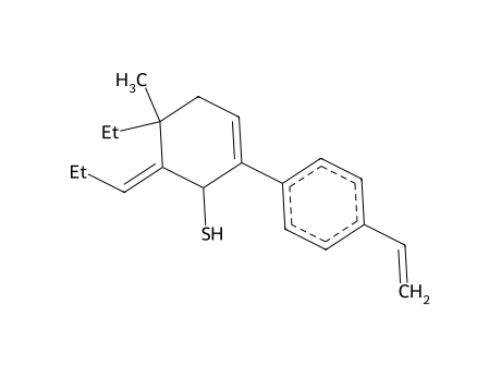 C=Cc1ccc(C2=CCC(C)(CC)/C(=C\CC)C2S)cc1